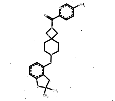 CC1(C)Cc2c(CN3CCC4(CC3)CN(C(=O)c3ccc(N)cn3)C4)cccc2O1